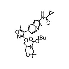 Cc1onc(OC[C@@H]2COC(C)(C)CN2C(=O)OC(C)(C)C)c1-c1ccn2nc(NC(=O)C3CC3)cc2c1